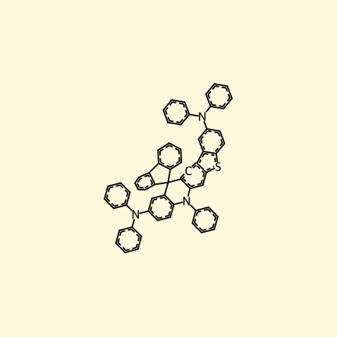 c1ccc(N(c2ccccc2)c2ccc3c(c2)C2(c4ccccc4-c4ccccc42)c2cc4c(cc2N3c2ccccc2)sc2ccc(N(c3ccccc3)c3ccccc3)cc24)cc1